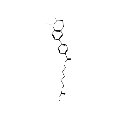 CC(=O)N1c2ccc(-c3ccc(C(=O)NCCCCCNC(=O)OC(C)(C)C)cc3)cc2CC[C@@H]1C